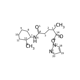 CC(CCC(=O)NC1CCCCC1C)C(=O)On1cccn1